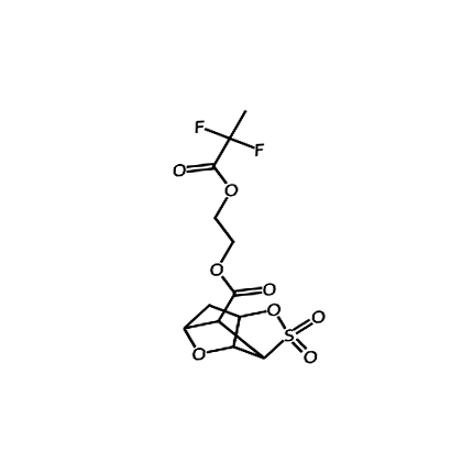 CC(F)(F)C(=O)OCCOC(=O)C1C2CC3OS(=O)(=O)C1C3O2